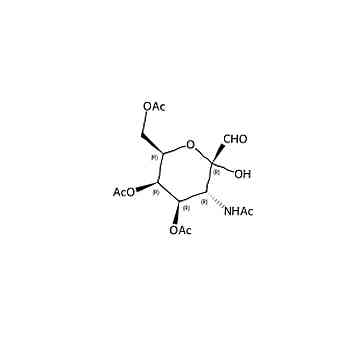 CC(=O)N[C@@H]1[C@@H](OC(C)=O)[C@@H](OC(C)=O)[C@@H](COC(C)=O)O[C@@]1(O)C=O